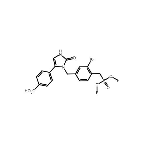 O=C(O)c1ccc(-c2c[nH]c(=O)n2Cc2ccc(CP(=O)(OF)OF)c(Br)c2)cc1